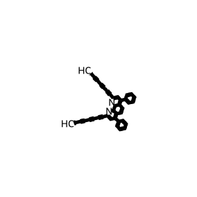 C#CC#CC#CC#Cc1cc(-c2ccccc2)c2ccc3c(-c4ccccc4)cc(C#CC#CC#CC#C)nc3c2n1